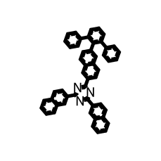 c1ccc(-c2cccc(-c3ccccc3)c2-c2ccc3cc(-c4nc(-c5ccc6ccccc6c5)nc(-c5ccc6ccccc6c5)n4)ccc3c2)cc1